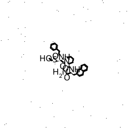 NC(=O)[C@H](Cc1ccc2ccccc2c1)NC(=O)[C@@H]1CCCCN1C(=O)[C@H](CSCO)NC(=O)Cc1ccccc1